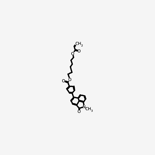 C=CC(=O)OCCCCCCOC(=O)c1ccc(-c2ccc3c4c(cccc24)N(C)C3=O)cc1